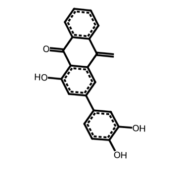 C=C1c2ccccc2C(=O)c2c(O)cc(-c3ccc(O)c(O)c3)cc21